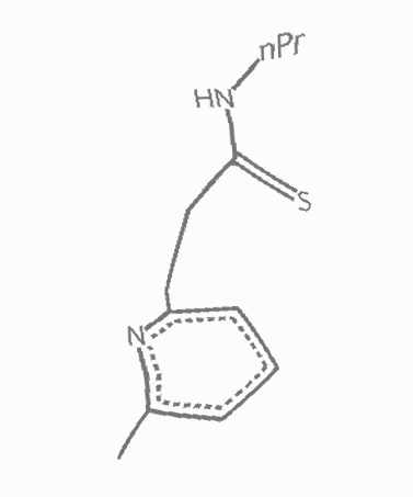 CCCNC(=S)Cc1cccc(C)n1